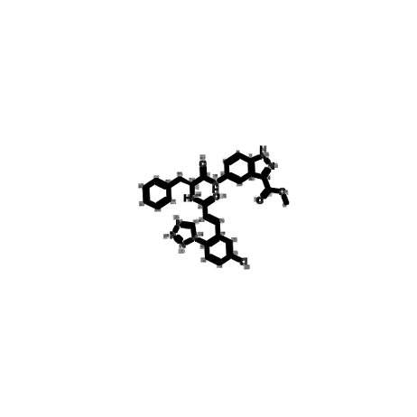 COC(=O)c1n[nH]c2ccc(NC(=O)[C@H](Cc3ccccc3)NC(=O)C=Cc3cc(Cl)ccc3-n3cnnn3)cc12